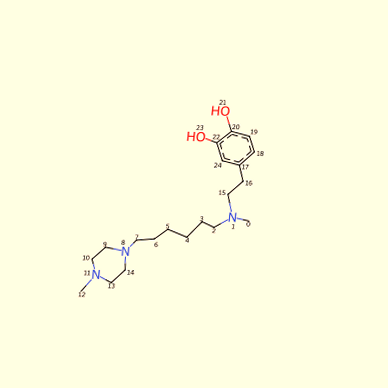 CN(CCCCCCN1CCN(C)CC1)CCc1ccc(O)c(O)c1